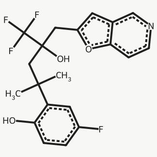 CC(C)(CC(O)(Cc1cc2cnccc2o1)C(F)(F)F)c1cc(F)ccc1O